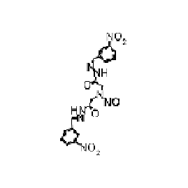 O=NN(CC(=O)N/N=C\c1cccc([N+](=O)[O-])c1)CC(=O)N/N=C/c1cccc([N+](=O)[O-])c1